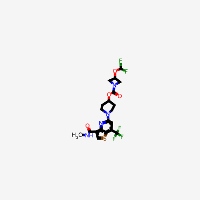 CNC(=O)c1csc2c(C(F)(F)F)cc(N3CCC(OC(=O)N4CC(OC(F)F)C4)CC3)nc12